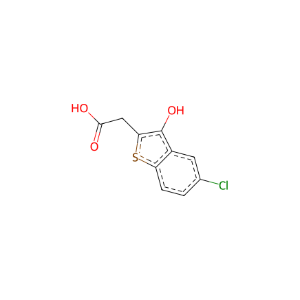 O=C(O)Cc1sc2ccc(Cl)cc2c1O